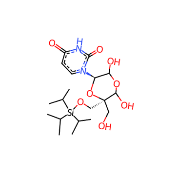 CC(C)[Si](OC[C@]1(CO)O[C@@H](n2ccc(=O)[nH]c2=O)C(O)OC1O)(C(C)C)C(C)C